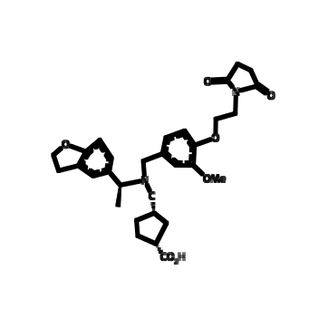 COc1cc(CN(C[C@H]2CC[C@@H](C(=O)O)C2)[C@@H](C)c2ccc3c(c2)CCO3)ccc1OCCN1C(=O)CCC1=O